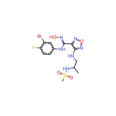 CC(CNc1nonc1/C(=N/O)Nc1ccc(F)c(Br)c1)NS(C)(=O)=O